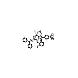 CCOC(=O)c1c(N(Cc2c(F)cccc2F)C(=O)ON=C(c2ccccc2)c2ccccc2)sc(-c2ccc([N+](=O)[O-])cc2)c1CN(C)C